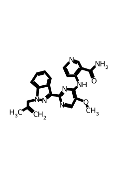 C=C(C)Cn1nc(-c2ncc(OC)c(Nc3ccncc3C(N)=O)n2)c2ccccc21